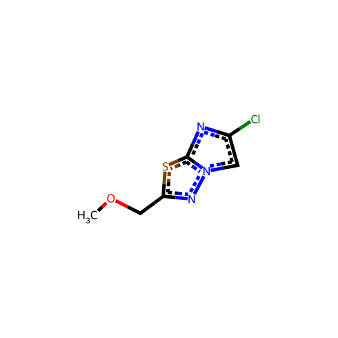 COCc1nn2cc(Cl)nc2s1